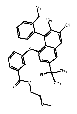 CCOCCOC(=O)c1cccc(Sc2cc(C(C)(C)CC)cc3cc(C#N)c(C#N)c(-c4ccccc4CC(F)(F)F)c23)c1